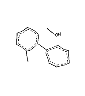 CO.Cc1ccccc1-c1ccccc1